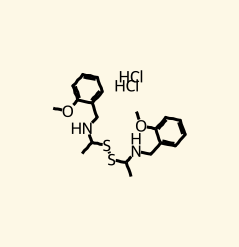 COc1ccccc1CNC(C)SSC(C)NCc1ccccc1OC.Cl.Cl